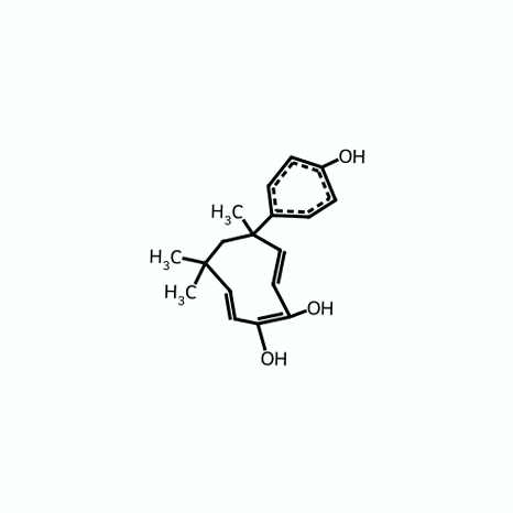 CC1(C)/C=C/C(O)=C(O)\C=C\C(C)(c2ccc(O)cc2)C1